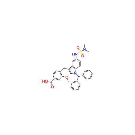 COc1cc(C(=O)O)ccc1Cc1cn(C(c2ccccc2)c2ccccc2)c2ccc(NS(=O)(=O)N(C)C)cc12